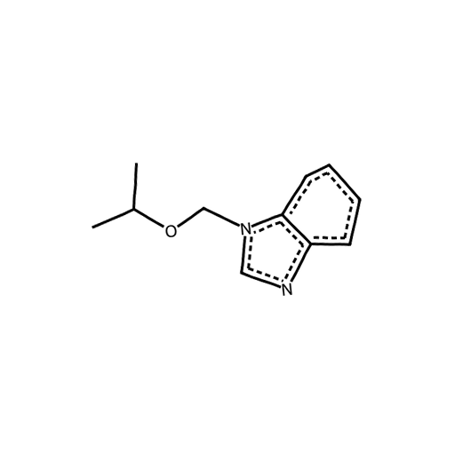 CC(C)OCn1cnc2ccccc21